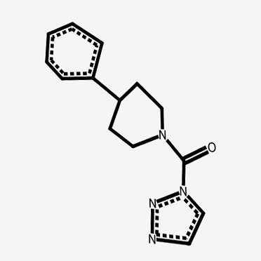 O=C(N1CCC(c2ccccc2)CC1)n1ccnn1